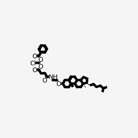 CC(C)CCCC[C@H]1CCC2C3CC=C4CC(OCCNC(=O)CCC(=O)OC(Cl)OC(=O)c5ccccc5)CCC4(C)C3CC[C@@]21C